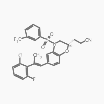 CC(=Cc1ccc2c(c1)N(S(=O)(=O)c1cccc(C(F)(F)F)c1)C[C@H](CCC#N)O2)c1c(F)cccc1Cl